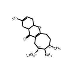 CCCC1=CCC2OC3=C(C[C@H](C(=O)OCC)C(N)[C@H](C)CC3)C(=O)C2C1